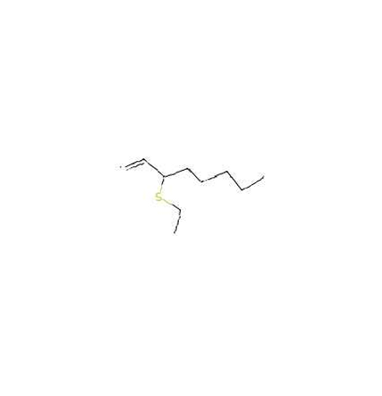 [CH]=CC(CCCCC)SCC